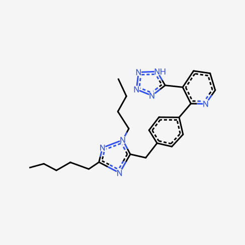 CCCCCc1nc(Cc2ccc(-c3ncccc3-c3nnn[nH]3)cc2)n(CCCC)n1